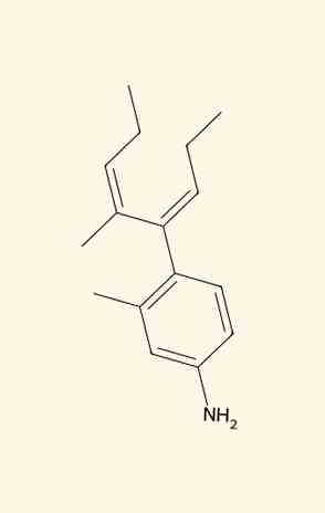 CC/C=C(C)\C(=C/CC)c1ccc(N)cc1C